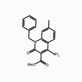 COC(=O)c1c(N)c2ccc(C)cc2n(Cc2ccccc2)c1=O